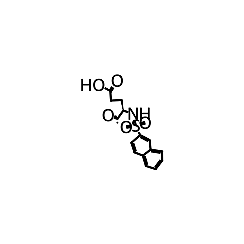 O=[C][C@@H](CCC(=O)O)NS(=O)(=O)c1ccc2ccccc2c1